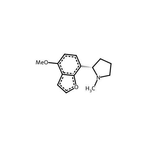 COc1ccc([C@@H]2CCCN2C)c2occc12